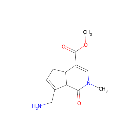 COC(=O)C1=CN(C)C(=O)C2C(CN)=CCC12